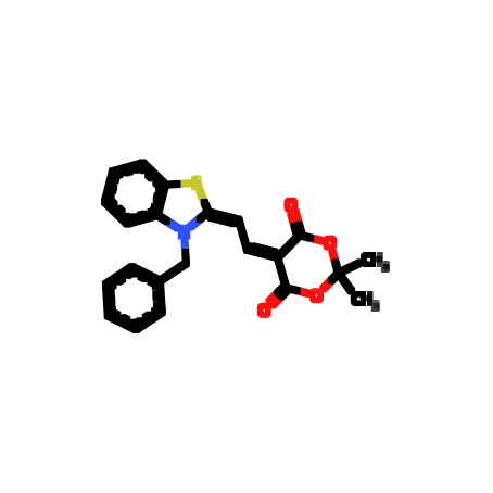 CC1(C)OC(=O)C(=CC=C2Sc3ccccc3N2Cc2ccccc2)C(=O)O1